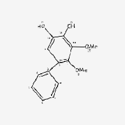 COc1c(-c2ccccc2)cc(O)c(O)c1OC